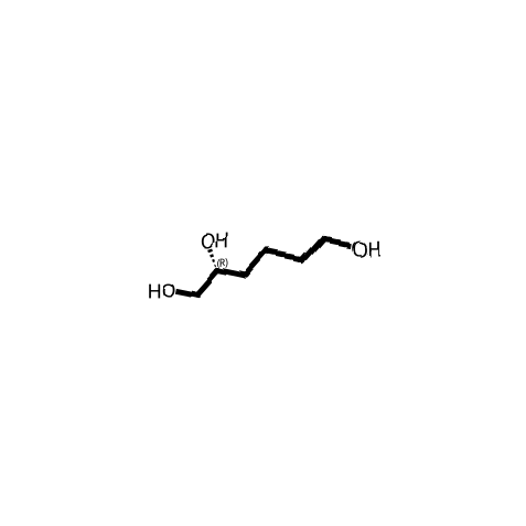 OCCCC[C@@H](O)CO